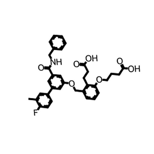 Cc1cc(-c2cc(OCc3cccc(OCCCC(=O)O)c3CCC(=O)O)cc(C(=O)NCc3ccccc3)c2)ccc1F